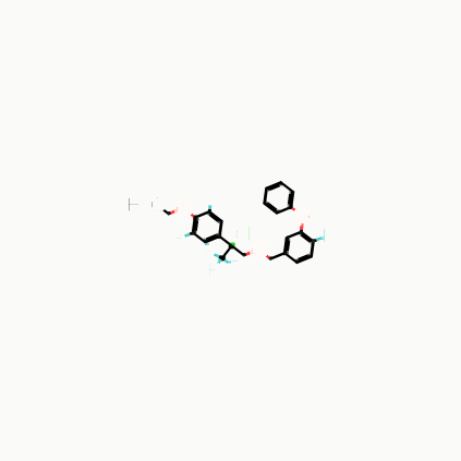 CCOc1c(F)cc(C(Cl)(COCc2ccc(F)c(Oc3ccccc3)c2)C(F)(F)F)cc1F